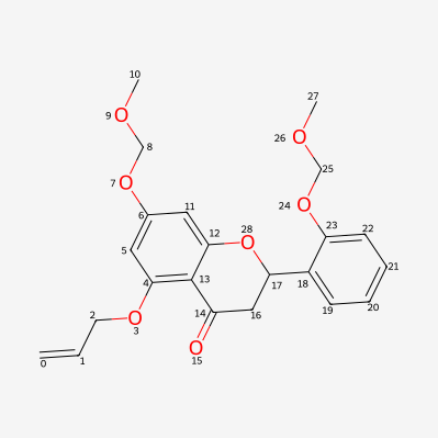 C=CCOc1cc(OCOC)cc2c1C(=O)CC(c1ccccc1OCOC)O2